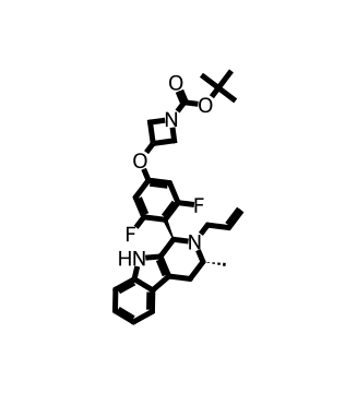 C=CCN1[C@H](c2c(F)cc(OC3CN(C(=O)OC(C)(C)C)C3)cc2F)c2[nH]c3ccccc3c2C[C@H]1C